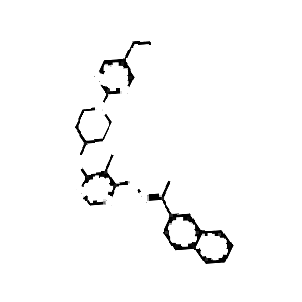 CCc1cnc(N2CCC(Oc3ncnc(ON=C(C)c4ccc5ccccc5c4)c3C)CC2)nc1